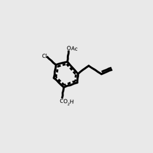 C=CCc1cc(C(=O)O)cc(Cl)c1OC(C)=O